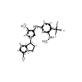 CNc1nc(Nc2cn(C3CCn4c(Cl)cnc43)nc2C)ncc1C(F)(F)F